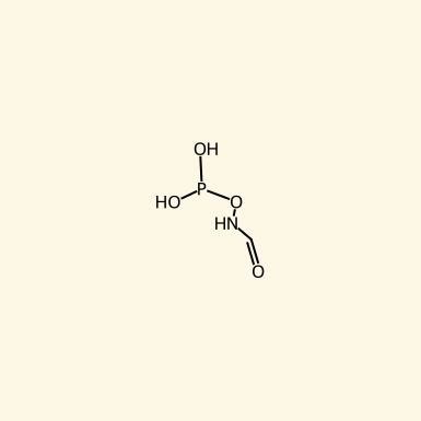 O=CNOP(O)O